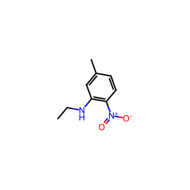 CCNc1cc(C)ccc1[N+](=O)[O-]